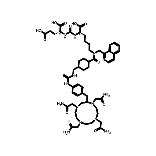 C=C(NCC1CCC(C(=O)N(CCCC[C@@H](NC(=O)N[C@H](CCC(=O)O)C(=O)O)C(=O)O)Cc2nccc3ccccc23)CC1)Nc1ccc(CC2CN(CC(N)=O)CCN(CC(N)=O)CCN(CC(N)=O)CCN2CC(N)=O)cc1